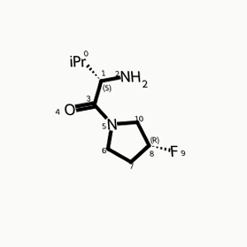 CC(C)[C@H](N)C(=O)N1CC[C@@H](F)C1